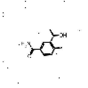 Cc1ccc(C(N)=O)cc1C(C)O